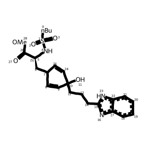 CCCCS(=O)(=O)N[C@@H](CC1C=CC(O)(CCCc2nc3ccccc3[nH]2)C=C1)C(=O)OC